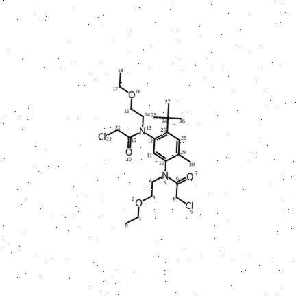 CCOCCN(C(=O)CCl)c1cc(N(CCOCC)C(=O)CCl)c(C(C)(C)C)cc1C